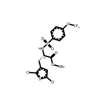 CC(C)(C)OC(=O)[C@H](Cc1cc(Cl)sc1Cl)NS(=O)(=O)c1ccc(OC(F)(F)F)cc1